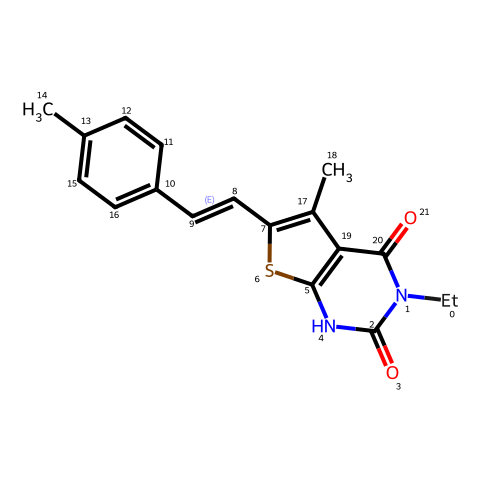 CCn1c(=O)[nH]c2sc(/C=C/c3ccc(C)cc3)c(C)c2c1=O